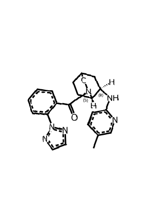 Cc1ccc(N[C@@H]2CC3CC[C@@H]2N(C(=O)c2ccccc2-n2nccn2)C3)nc1